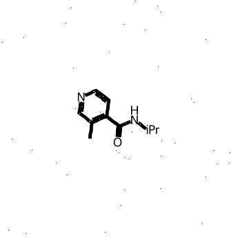 Cc1cnccc1C(=O)NC(C)C